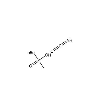 CCCCP(C)(=O)O.N=C=O